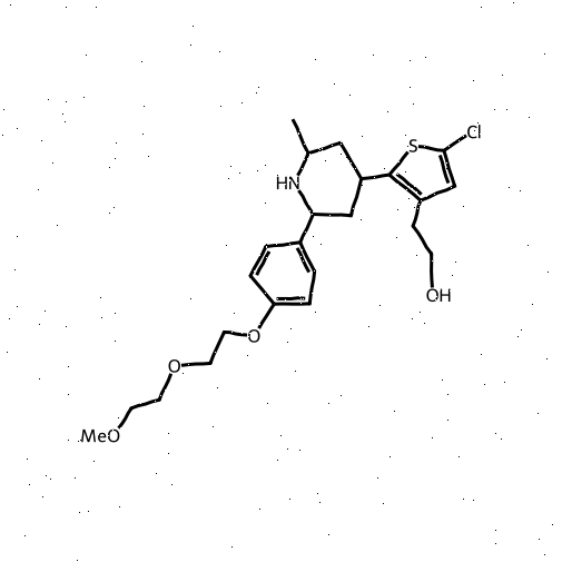 COCCOCCOc1ccc(C2CC(c3sc(Cl)cc3CCO)CC(C)N2)cc1